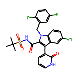 CC(C)(C)S(=O)(=O)NC(=O)c1c(-c2ccc[nH]c2=O)c2cc(Cl)ccc2n1Cc1cc(F)ccc1F